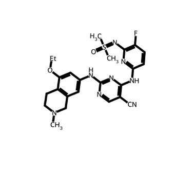 CCOc1cc(Nc2ncc(C#N)c(Nc3ccc(F)c(N=S(C)(C)=O)n3)n2)cc2c1CCN(C)C2